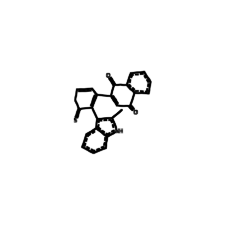 Cc1[nH]c2ccccc2c1C1=C(C2=CC(=O)c3ccccc3C2=O)C=CCC1=S